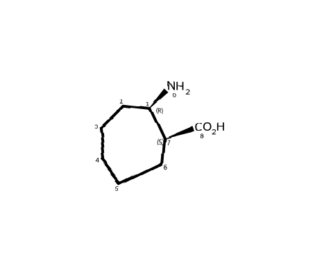 N[C@@H]1CCCCC[C@@H]1C(=O)O